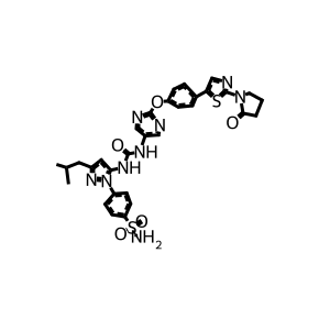 CC(C)Cc1cc(NC(=O)Nc2cnc(Oc3ccc(-c4cnc(N5CCCC5=O)s4)cc3)nc2)n(-c2ccc(S(N)(=O)=O)cc2)n1